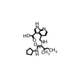 CC[C@@H](C)[C@@H](NCc1ccnc2[nH]cc(C(=O)O)c12)C(=O)NC1CCCC1